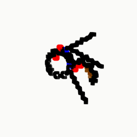 CCCCCCCCCCCCC1CCCCCCCCCCC(C)(C)c2ccc(o2)C2=c3cc4c(cc3N(CC(CCCCCCCCCC)CCCCCCCCCCCC)C2=O)=C(c2ccc(-c3ccc(-c5ccc(C(C)(C)C)s5)s3)o2)C(=O)N4C1